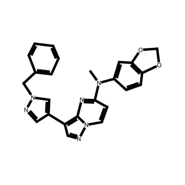 CN(c1ccc2c(c1)OCO2)c1ccn2ncc(-c3cnn(Cc4ccccc4)c3)c2n1